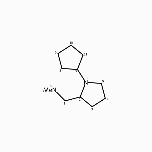 CNCC1CCCN1C1CCCC1